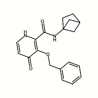 O=C(NC12CCC(C1)C2)c1[nH]ccc(=O)c1OCc1ccccc1